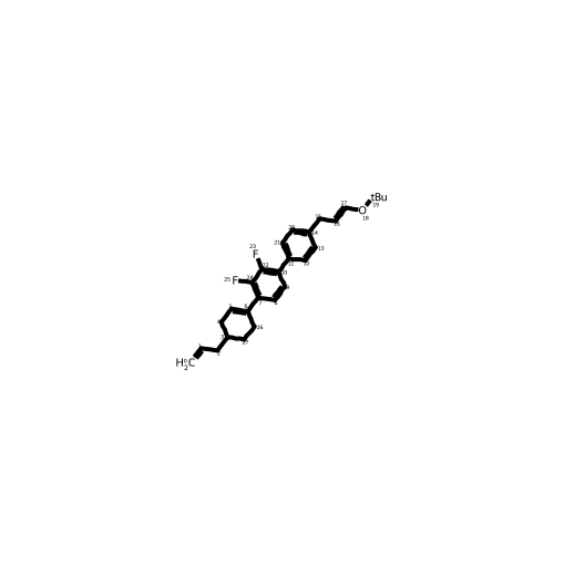 C=CCC1CC=C(c2ccc(-c3ccc(C/C=C/OC(C)(C)C)cc3)c(F)c2F)CC1